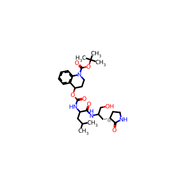 CC(C)CC(NC(=O)OC1CCN(C(=O)OC(C)(C)C)c2ccccc21)C(=O)NC(CO)C[C@@H]1CCNC1=O